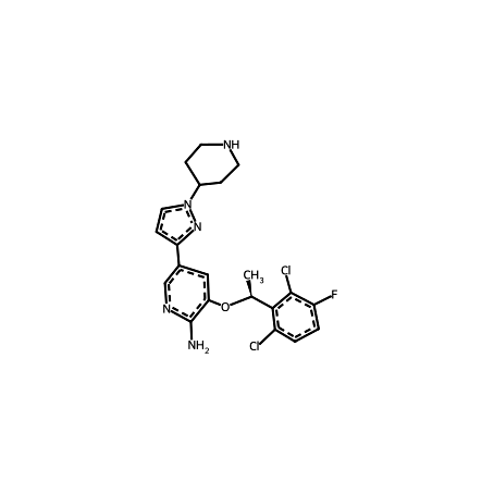 C[C@H](Oc1cc(-c2ccn(C3CCNCC3)n2)cnc1N)c1c(Cl)ccc(F)c1Cl